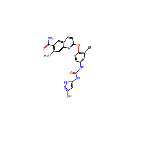 CCc1cc(NC(=O)Nc2cc(C(C)(C)C)n[nH]2)ccc1Oc1ccc2cc(C(N)=O)c(OC)cc2n1